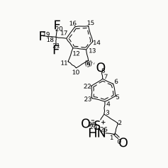 O=C1CC(c2ccc(O[C@@H]3CCc4c3cccc4C(F)(F)F)cc2)[S+]([O-])N1